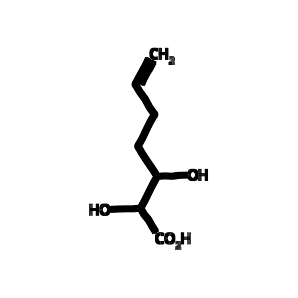 C=CCCC(O)C(O)C(=O)O